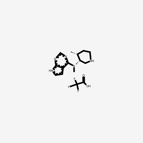 C[C@@H]1CCNC[C@@H]1N(C)c1ncnc2[nH]ccc12.O=C(O)C(F)(F)F